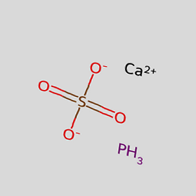 O=S(=O)([O-])[O-].P.[Ca+2]